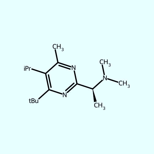 Cc1nc([C@H](C)N(C)C)nc(C(C)(C)C)c1C(C)C